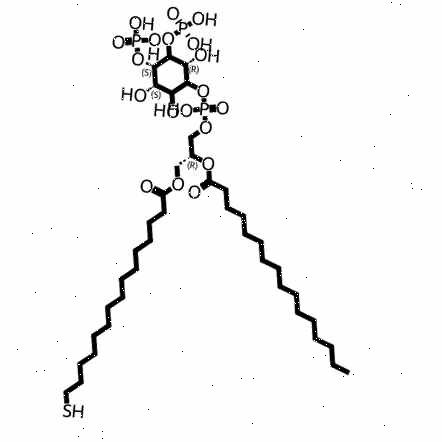 CCCCCCCCCCCCCCCC(=O)O[C@H](COC(=O)CCCCCCCCCCCCCCS)COP(=O)(O)OC1C(O)[C@H](O)[C@H](OP(=O)(O)O)C(OP(=O)(O)O)[C@@H]1O